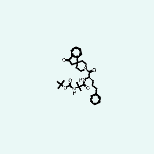 CC(C)(C)OC(=O)NC(C)(C)C(=O)N[C@H](CCCc1ccccc1)C(=O)N1CCC2(CC1)CC(=O)c1ccccc12